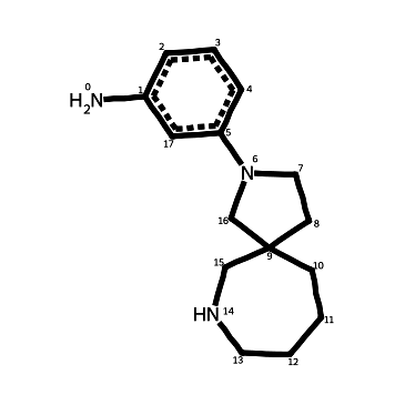 Nc1cccc(N2CCC3(CCCCNC3)C2)c1